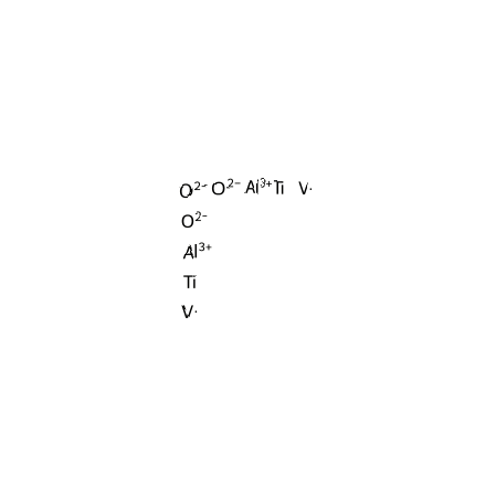 [Al+3].[Al+3].[O-2].[O-2].[O-2].[Ti].[Ti].[V].[V]